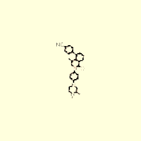 Cc1cn(-c2ccc(N3CCN(C)C(C)C3)cc2)c(=O)c2cccc(-c3ccc(C#N)cc3)c12